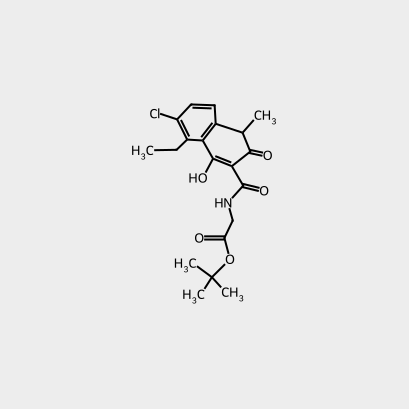 CCc1c(Cl)ccc2c1C(O)=C(C(=O)NCC(=O)OC(C)(C)C)C(=O)C2C